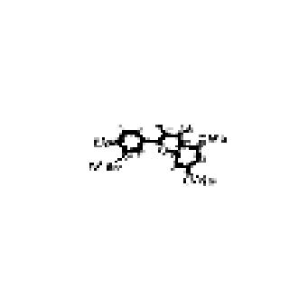 CCc1ccc(-c2oc3cc(OC)cc(OC)c3c(=O)c2C)cc1OC